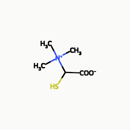 C[N+](C)(C)C(S)C(=O)[O-]